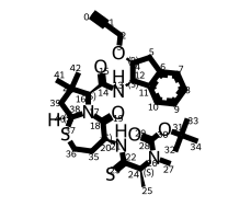 C#CCO[C@@H]1Cc2ccccc2[C@@H]1NC(=O)[C@H]1N2C(=O)[C@@H](NC(=S)[C@H](C)N(C)C(=O)OC(C)(C)C)CCS[C@H]2CC1(C)C